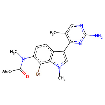 COC(=O)N(C)c1ccc2c(-c3nc(N)ncc3C(F)(F)F)cn(C)c2c1Br